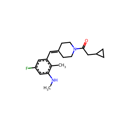 CNc1cc(F)cc(C=C2CCN(C(=O)CC3CC3)CC2)c1C